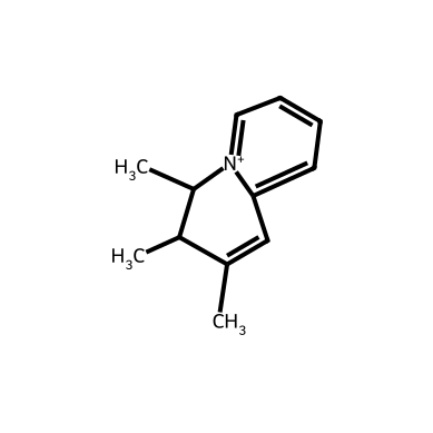 CC1=Cc2cccc[n+]2C(C)C1C